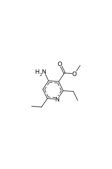 CCc1cc(N)c(C(=O)OC)c(CC)n1